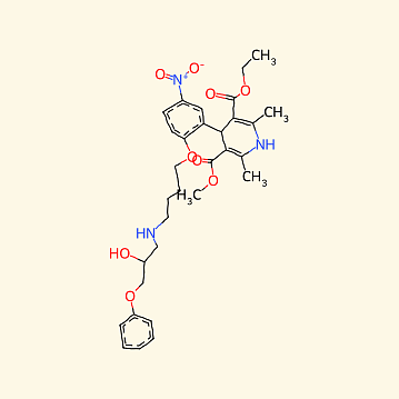 CCOC(=O)C1=C(C)NC(C)=C(C(=O)OC)C1c1cc([N+](=O)[O-])ccc1OCCCCNCC(O)COc1ccccc1